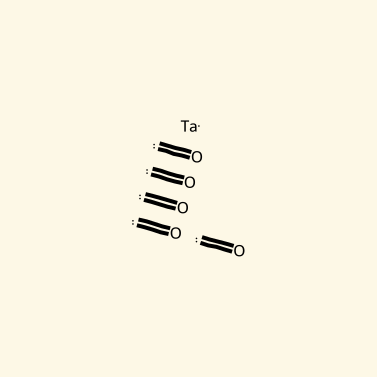 [C]=O.[C]=O.[C]=O.[C]=O.[C]=O.[Ta]